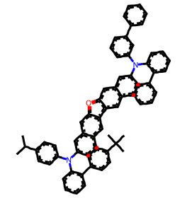 CC(C)c1ccc(N(c2ccc3cc4c(cc3c2)oc2cc3cc(N(c5cccc(-c6ccccc6)c5)c5ccccc5-c5ccccc5)ccc3cc24)c2ccccc2-c2ccc(C(C)(C)C)cc2)cc1